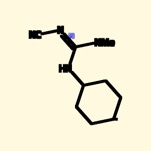 CN/C(=N/C#N)NC1CC[CH]CC1